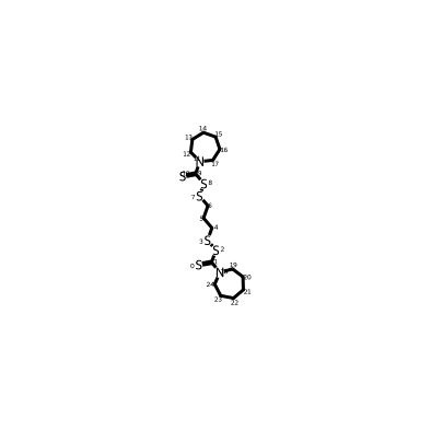 S=C(SSCCCSSC(=S)N1CCCCCC1)N1CCCCCC1